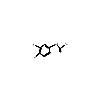 O=C(O)Nc1ccc(Cl)c(Br)c1